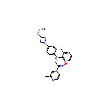 Cc1cc(/C(C[C@H](c2ccc(N3CC(OC(=O)O)C3)cc2)c2ccccc2C)=N/O)ccn1